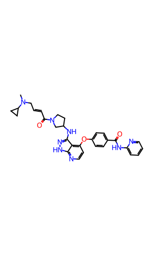 CN(C/C=C/C(=O)N1CCC(Nc2n[nH]c3nccc(Oc4ccc(C(=O)Nc5ccccn5)cc4)c23)C1)C1CC1